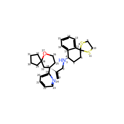 C=C(CN[C@H]1CCC2(SCCS2)c2ccccc21)[C@@]1(c2ccccn2)CCOC2(CCCC2)C1